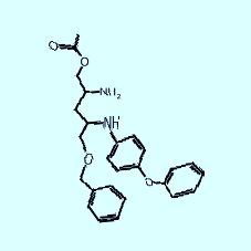 CC(=O)OCC(N)CC(COCc1ccccc1)Nc1ccc(Oc2ccccc2)cc1